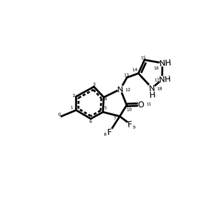 Cc1ccc2c(c1)C(F)(F)C(=O)N2CC1=CNNN1